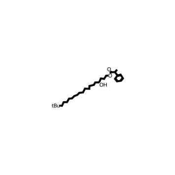 CC(C(=O)OCCCC(O)CCCCCCCCCCCCCCC(C)(C)C)c1ccccc1